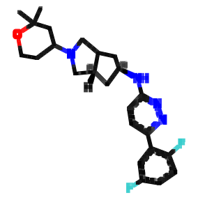 CC1(C)CC(N2CC3C[C@@H](Nc4ccc(-c5cc(F)ccc5F)nn4)C[C@@H]3C2)CCO1